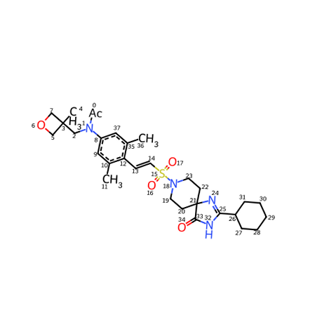 CC(=O)N(CC1(C)COC1)c1cc(C)c(C=CS(=O)(=O)N2CCC3(CC2)N=C(C2CCCCC2)NC3=O)c(C)c1